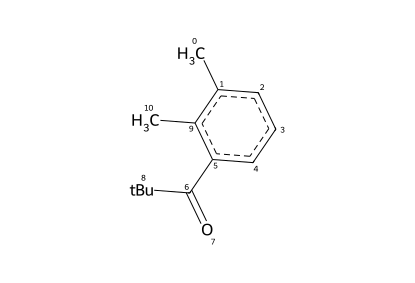 Cc1cccc(C(=O)C(C)(C)C)c1C